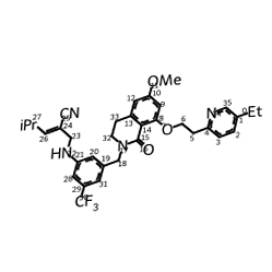 CCc1ccc(CCOc2cc(OC)cc3c2C(=O)N(Cc2cc(NCC(C#N)=CC(C)C)cc(C(F)(F)F)c2)CC3)nc1